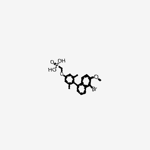 COc1ccc2c(-c3c(C)cc(OCP(=O)(O)O)cc3C)cccc2c1Br